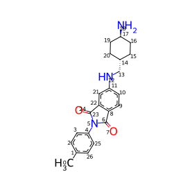 Cc1ccc(N2C(=O)c3ccc(NC[C@H]4CC[C@H](N)CC4)cc3C2=O)cc1